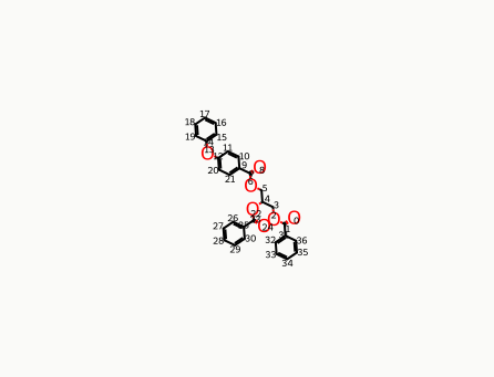 O=C(OCC(COC(=O)c1ccc(Oc2ccccc2)cc1)OC(=O)c1ccccc1)c1ccccc1